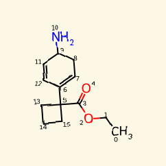 CCOC(=O)C1(C2=CCC(N)C=C2)CCC1